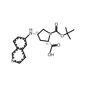 CC(C)(C)OC(=O)N1C[C@@H](Nc2ccc3cnccc3c2)C[C@H]1C(=O)O